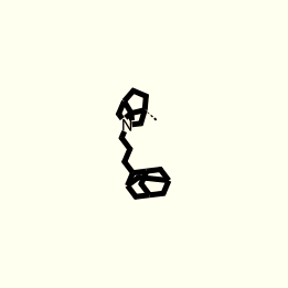 CC1(C)C2CC[C@@]1(C)CN(CCCC1C3CC4CC(C3)CC1C4)C2